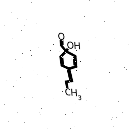 CCC=C1C=CC(O)(C=O)C=C1